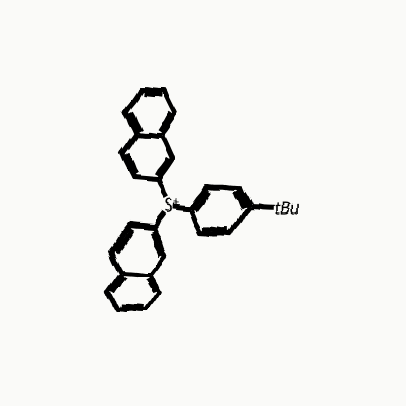 CC(C)(C)c1ccc([S+](c2ccc3ccccc3c2)c2ccc3ccccc3c2)cc1